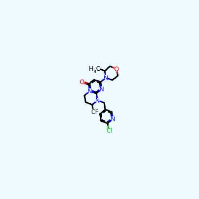 CC1COCCN1c1cc(=O)n2c(n1)N(Cc1ccc(Cl)nc1)C(C(F)(F)F)CC2